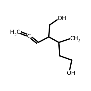 C=C=CC(CO)C(C)CCO